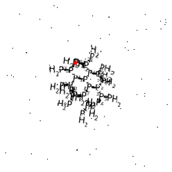 PPP(P(P)P)P(P(P(P)P)P(P)P)P(P(P(P)P)P(P)P)P(P(P)P)P(P)P